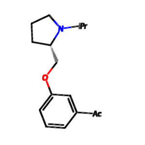 CC(=O)c1cccc(OC[C@@H]2CCCN2C(C)C)c1